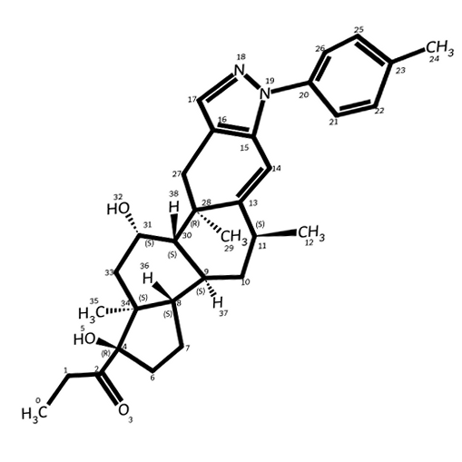 CCC(=O)[C@@]1(O)CC[C@H]2[C@@H]3C[C@H](C)C4=Cc5c(cnn5-c5ccc(C)cc5)C[C@]4(C)[C@H]3[C@@H](O)C[C@@]21C